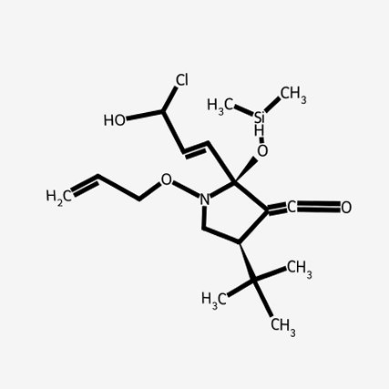 C=CCON1C[C@H](C(C)(C)C)C(=C=O)[C@]1(C=CC(O)Cl)O[SiH](C)C